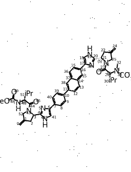 C=C1CC(c2nc(-c3ccc(-c4ccc5cc(-c6c[nH]c([C@@H]7CC(=C)CN7C(=O)[C@H](C(C)C)N(C)C(=O)O)n6)ccc5c4)cc3)c[nH]2)N(C(=O)[C@@H](NC(=O)OC)C(C)C)C1